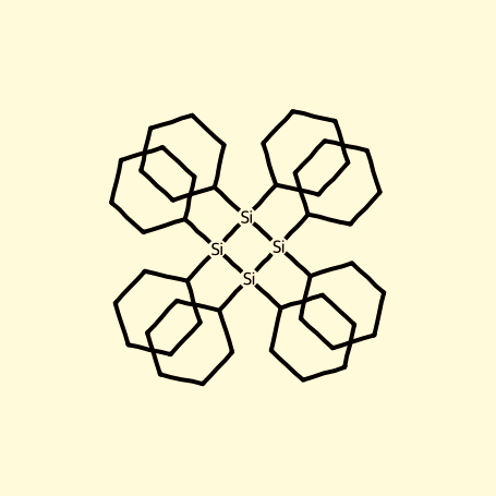 C1CCC([Si]2(C3CCCCC3)[Si](C3CCCCC3)(C3CCCCC3)[Si](C3CCCCC3)(C3CCCCC3)[Si]2(C2CCCCC2)C2CCCCC2)CC1